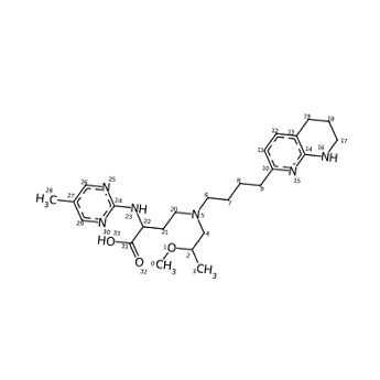 COC(C)CN(CCCCc1ccc2c(n1)NCCC2)CCC(Nc1ncc(C)cn1)C(=O)O